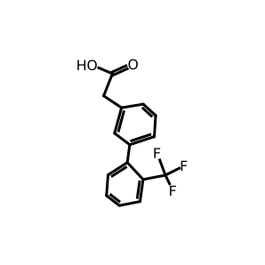 O=C(O)Cc1cccc(-c2ccccc2C(F)(F)F)c1